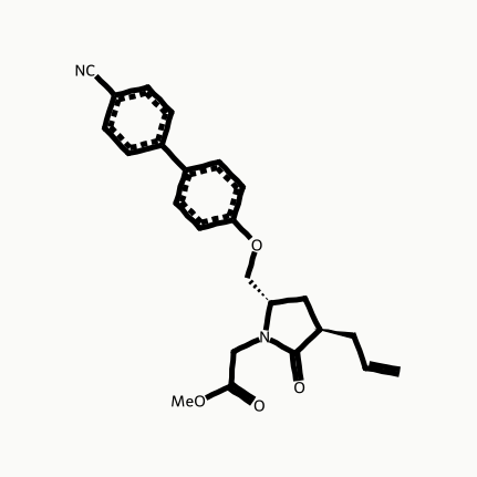 C=CC[C@@H]1C[C@@H](COc2ccc(-c3ccc(C#N)cc3)cc2)N(CC(=O)OC)C1=O